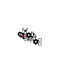 C=CC(=O)N1C2CCC1CC(Oc1cc3c(Nc4ccc(Cl)c(Cl)c4F)ncnc3cc1OC(F)F)C2